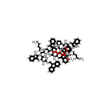 NCCCC[C@@H](NC(=O)[C@@H](Cc1c[nH]c2ccccc12)NC(=O)[C@@H]1CCCN1C(=O)[C@H]1CCCN1C(=O)[C@@H](Cc1c[nH]c2ccccc12)NC(=O)[C@@H](CCCCN)NC(=O)[C@@H](Cc1c[nH]c2ccccc12)NC(=O)[C@@H](CCCCN)NC(=O)[C@@H](Cc1c[nH]c2ccccc12)NC(=O)OCC1c2ccccc2-c2ccccc21)C(=O)N[C@H](Cc1c[nH]c2ccccc12)C(=O)O